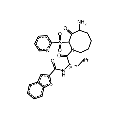 CC(C)C[C@H](NC(=O)c1cc2ccccc2s1)C(=O)N1CCCCC(N)C(=O)C1S(=O)(=O)c1ccccn1